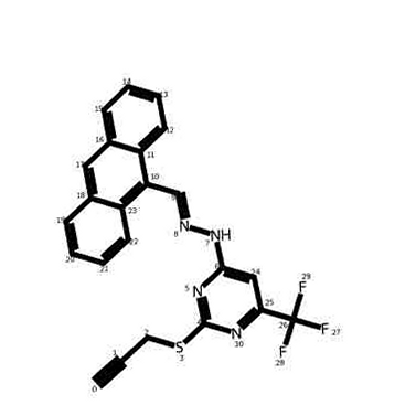 C#CCSc1nc(NN=Cc2c3ccccc3cc3ccccc23)cc(C(F)(F)F)n1